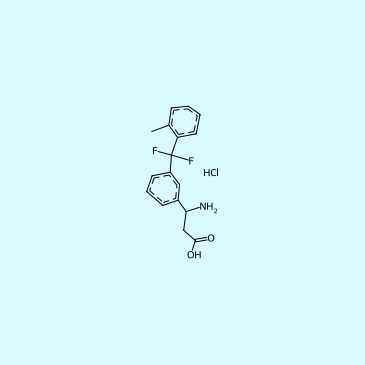 Cc1ccccc1C(F)(F)c1cccc(C(N)CC(=O)O)c1.Cl